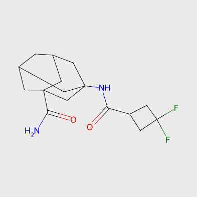 NC(=O)C12CC3CC(CC(NC(=O)C4CC(F)(F)C4)(C3)C1)C2